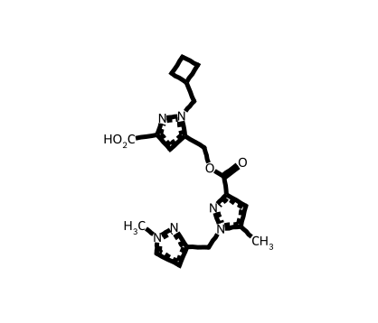 Cc1cc(C(=O)OCc2cc(C(=O)O)nn2CC2CCC2)nn1Cc1ccn(C)n1